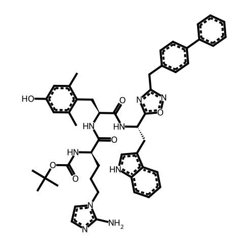 Cc1cc(O)cc(C)c1C[C@H](NC(=O)[C@@H](CCCn1ccnc1N)NC(=O)OC(C)(C)C)C(=O)N[C@@H](Cc1c[nH]c2ccccc12)c1nc(Cc2ccc(-c3ccccc3)cc2)no1